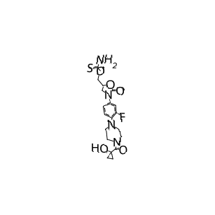 NC(=S)OCC1CN(c2ccc(N3CCN(C(=O)C4(O)CC4)CC3)c(F)c2)C(=O)O1